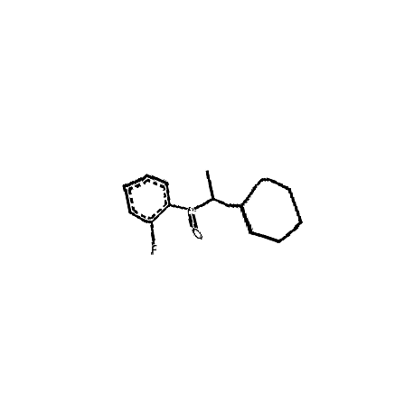 CC(C1CCCCC1)[P](=O)c1ccccc1F